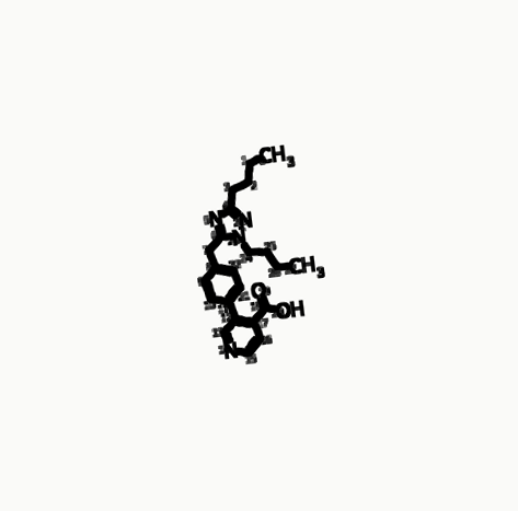 CCCCc1nc(Cc2ccc(-c3cnccc3C(=O)O)cc2)n(CCCC)n1